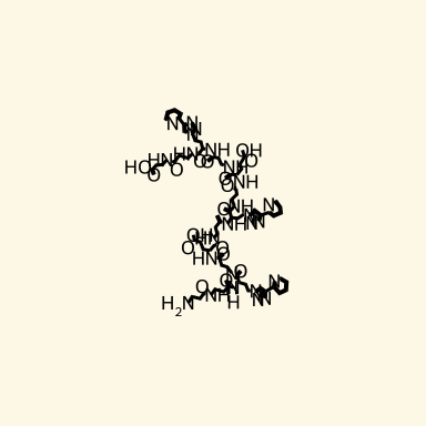 C=C(CCNC(=O)C(CCC(=O)O)NC(=O)CCNC(=O)C(CCn1cc(-c2ccccn2)nn1)NC(=O)CCNC(=O)CCN)NC(CCn1cc(-c2ccccn2)nn1)C(=O)NCCC(=O)NC(CCC(=O)O)C(=O)NCCC(=O)NC(CCn1cc(-c2ccccn2)nn1)C(=O)NCCC(=O)NCCC(=O)O